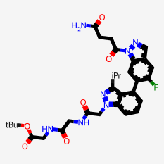 CC(C)c1nn(CC(=O)NCC(=O)NCC(=O)OC(C)(C)C)c2cccc(-c3cc4c(cnn4C(=O)CCC(N)=O)cc3F)c12